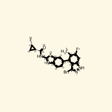 Cc1c(F)cc2[nH]nc(Br)c2c1-c1ccc2nc(NC(=O)[C@@H]3C[C@@H]3F)sc2c1